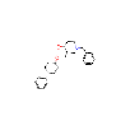 O=C1CCN(Cc2ccccc2)C[C@H]1CO[C@H]1CC[C@@H](c2ccccc2)CC1